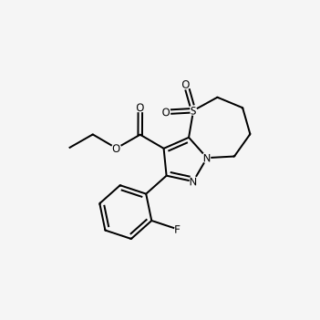 CCOC(=O)c1c(-c2ccccc2F)nn2c1S(=O)(=O)CCCC2